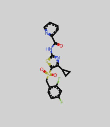 O=C(Nc1nc(C2CC2)c(S(=O)(=O)Cc2ccc(F)cc2F)s1)c1ccccn1